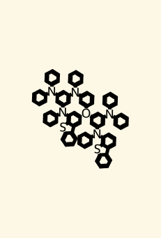 c1ccc(N(c2ccccc2)c2cc(Oc3cccc(N(c4ccccc4)c4cc(N(c5ccccc5)c5ccccc5)cc(N(c5ccccc5)c5cccc6c5sc5ccccc56)c4)c3)cc(N(c3ccccc3)c3cccc4c3sc3ccccc34)c2)cc1